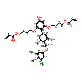 C=CC(=O)OCCCCOc1cc(O)cc(OCCCCOC(=O)C=C)c1-c1cc(F)c(C(F)(F)Oc2cc(F)c(F)c(F)c2)c(F)c1